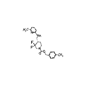 Cc1ccc(COC(=O)N2CC[C@@H](CNc3cccc(C)n3)C(F)(F)C2)cc1